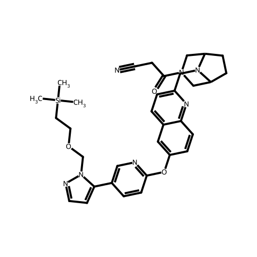 C[Si](C)(C)CCOCn1nccc1-c1ccc(Oc2ccc3nc(CN4C5CCC4CN(C(=O)CC#N)C5)ccc3c2)nc1